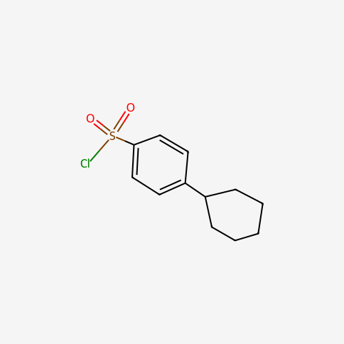 O=S(=O)(Cl)c1ccc(C2CCCCC2)cc1